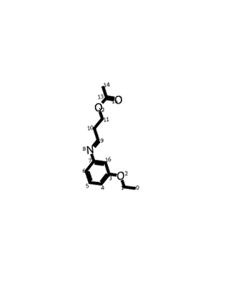 CCOc1cccc(N=CCCOC(C)=O)c1